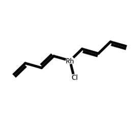 C=CC=[CH][Rh]([Cl])[CH]=CC=C